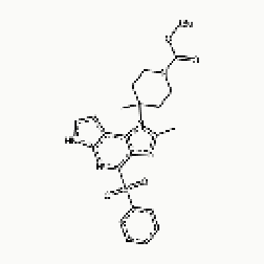 Cc1nc2c(S(=O)(=O)c3ccccc3)nc3[nH]ccc3c2n1C1(C)CCN(C(=O)OC(C)(C)C)CC1